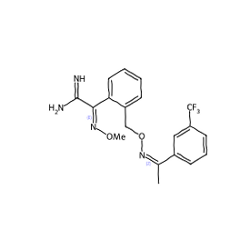 CO/N=C(/C(=N)N)c1ccccc1CO/N=C(/C)c1cccc(C(F)(F)F)c1